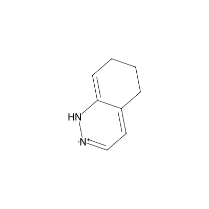 C1=[N+]NC2=CCCCC2=C1